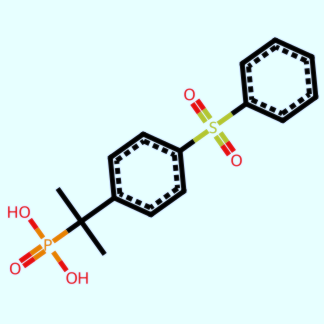 CC(C)(c1ccc(S(=O)(=O)c2ccccc2)cc1)P(=O)(O)O